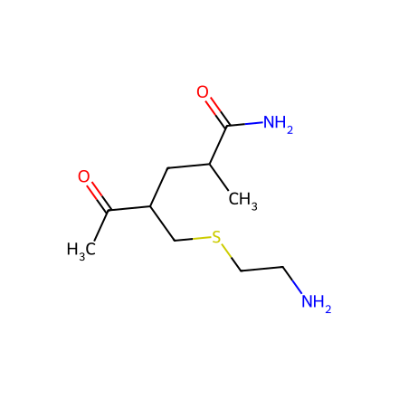 CC(=O)C(CSCCN)CC(C)C(N)=O